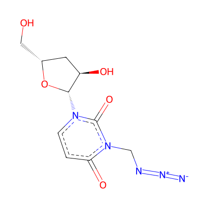 [N-]=[N+]=NCn1c(=O)ccn([C@@H]2O[C@H](CO)C[C@H]2O)c1=O